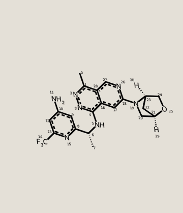 Cc1nnc(N[C@H](C)c2cc(N)cc(C(F)(F)F)n2)c2cc(N3C[C@H]4C[C@@H]3CO4)ncc12